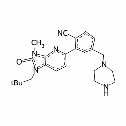 Cn1c(=O)n(CC(C)(C)C)c2ccc(-c3cc(CN4CCNCC4)ccc3C#N)nc21